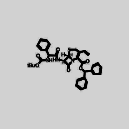 C=CC1=C(C(=O)OC(c2ccccc2)c2ccccc2)N2C(=O)[C@@H](NC(=O)C(NC(=O)OC(C)(C)C)c3ccccc3)[C@@H]2SC1